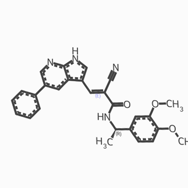 COc1ccc([C@@H](C)NC(=O)/C(C#N)=C/c2c[nH]c3ncc(-c4ccccc4)cc23)cc1OC